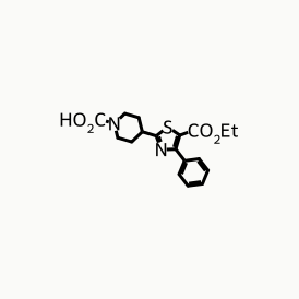 CCOC(=O)c1sc(C2CCN(C(=O)O)CC2)nc1-c1ccccc1